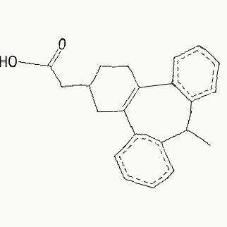 CC1c2ccccc2C2=C(CC(CC(=O)O)CC2)c2ccccc21